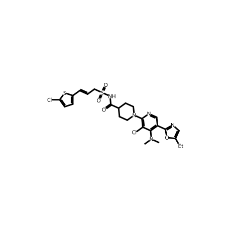 CCc1cnc(-c2cnc(N3CCC(C(=O)NS(=O)(=O)CC=Cc4ccc(Cl)s4)CC3)c(Cl)c2N(C)C)o1